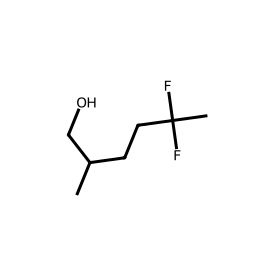 CC(CO)CCC(C)(F)F